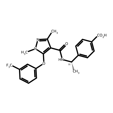 Cc1nn(C)c(Oc2cccc(C(F)(F)F)c2)c1C(=O)N[C@@H](C)c1ccc(C(=O)O)cc1